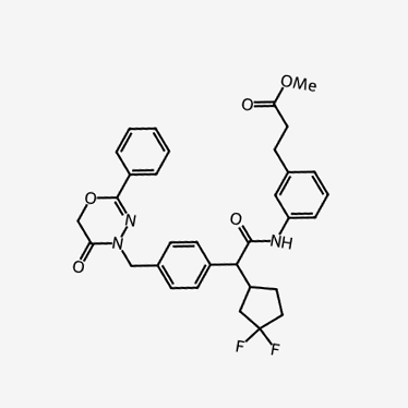 COC(=O)CCc1cccc(NC(=O)C(c2ccc(CN3N=C(c4ccccc4)OCC3=O)cc2)C2CCC(F)(F)C2)c1